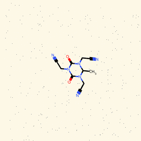 CC1N(CC#N)C(=O)N(CC#N)C(=O)N1CC#N